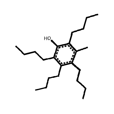 CCCCc1c(C)c(CCCC)c(CCCC)c(CCCC)c1O